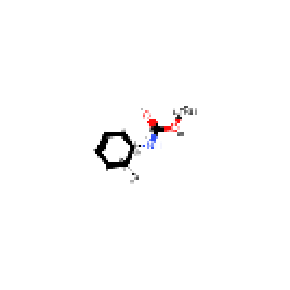 C[C@@H]1CC=CC[C@@H]1NC(=O)OC(C)(C)C